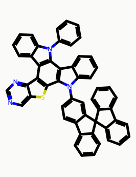 c1ccc(-n2c3ccccc3c3c4c5ncncc5sc4c4c(c5ccccc5n4-c4ccc5c(c4)C4(c6ccccc6-c6ccccc64)c4ccccc4-5)c32)cc1